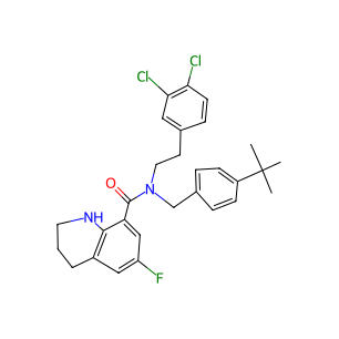 CC(C)(C)c1ccc(CN(CCc2ccc(Cl)c(Cl)c2)C(=O)c2cc(F)cc3c2NCCC3)cc1